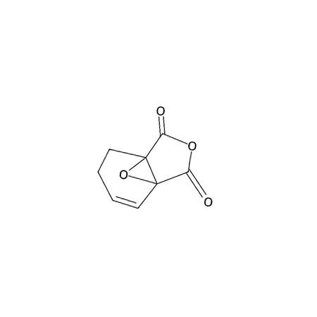 O=C1OC(=O)C23CCC=CC12O3